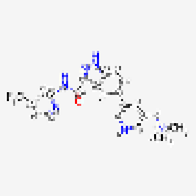 CN(C)Cc1cncc(-c2ccc3[nH]nc(C(=O)Nc4cc(C(F)(F)F)ccn4)c3c2)c1